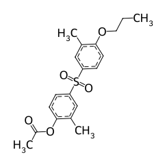 CCCOc1ccc(S(=O)(=O)c2ccc(OC(C)=O)c(C)c2)cc1C